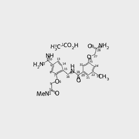 CC(=O)O.CNC(=O)COc1cc(C(=N)N)ccc1CNC(=O)c1cc(C)cc(OCC(N)=O)c1